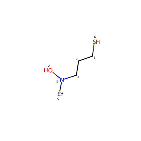 CCN(O)CCCS